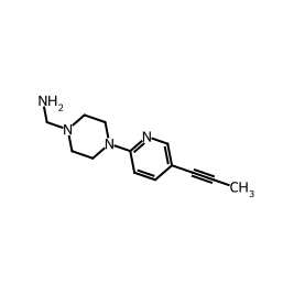 CC#Cc1ccc(N2CCN(CN)CC2)nc1